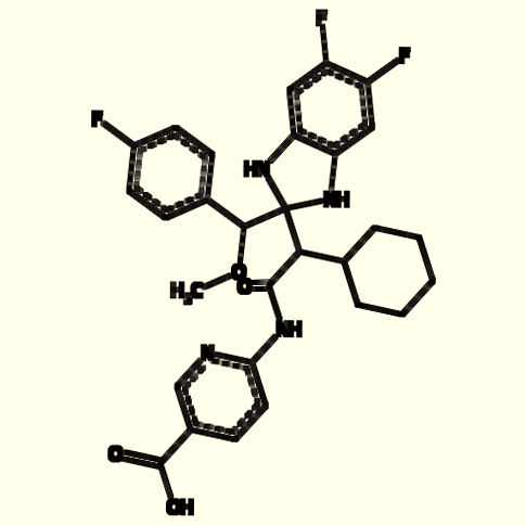 COC(c1ccc(F)cc1)C1(C(C(=O)Nc2ccc(C(=O)O)cn2)C2CCCCC2)Nc2cc(F)c(F)cc2N1